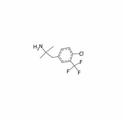 CC(C)(N)Cc1ccc(Cl)c(C(F)(F)F)c1